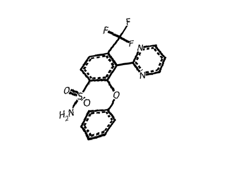 NS(=O)(=O)c1ccc(C(F)(F)F)c(-c2ncccn2)c1Oc1ccccc1